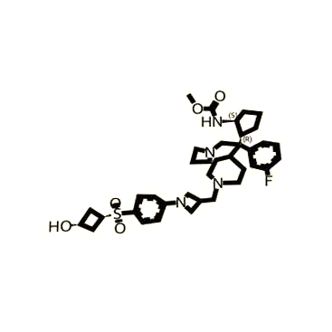 COC(=O)N[C@H]1CCC[C@@H]1C(CN1CCC1)(c1cccc(F)c1)C1CCN(CC2CN(c3ccc(S(=O)(=O)[C@H]4C[C@@H](O)C4)cc3)C2)CC1